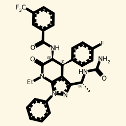 CCN1C(=O)[C@@H](NC(=O)c2cccc(C(F)(F)F)c2)[C@@H](c2ccc(F)cc2)c2c([C@@H](C)NC(N)=O)nn(-c3ccccc3)c21